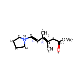 COC(=O)C/C(C#N)=C(C)/C=C/N1CCCC1